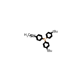 CC.CC(C)(C)c1ccc([S+](c2ccc(C(C)(C)C)cc2)c2ccc(C(C)(C)C)cc2)cc1